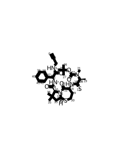 C#CCNC(=O)[C@@H](NC(=O)[C@H]1N2C(=O)[C@@H](NC(=S)[C@H](C)N(C)C(=O)OC(C)(C)C)CCS[C@H]2CC1(C)C)c1ccccc1